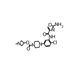 CN1CC(OC(=O)N2CCN(c3ccc(Cl)c(NC(=O)c4coc(N)n4)c3)CC2)C1